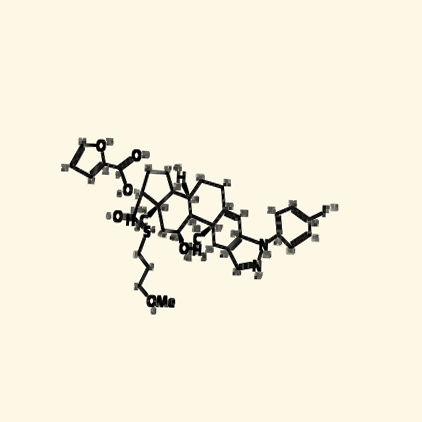 COCCCSC(=O)[C@@]1(OC(=O)c2ccco2)CCC2[C@@H]3CCC4=Cc5c(cnn5-c5ccc(F)cc5)C[C@]4(C)C3[C@@H](O)C[C@@]21C